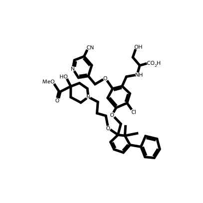 COC(=O)C1(O)CCN(CCCOC2(COc3cc(OCc4cncc(C#N)c4)c(CNC(CO)C(=O)O)cc3Cl)C=CC=C(c3ccccc3)C2(C)C)CC1